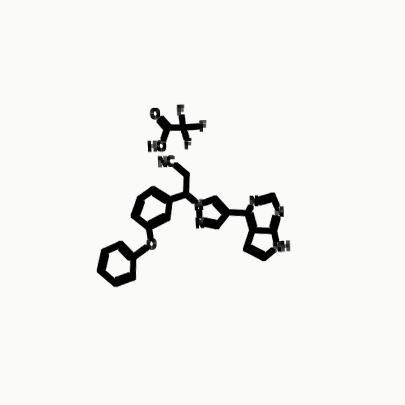 N#CCC(c1cccc(Oc2ccccc2)c1)n1cc(-c2ncnc3[nH]ccc23)cn1.O=C(O)C(F)(F)F